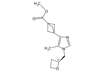 COC(=O)C12CC(c3ncn(C[C@@H]4CCO4)c3C)(C1)C2